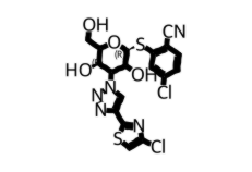 N#Cc1ccc(Cl)cc1S[C@H]1OC(CO)[C@H](O)C(n2cc(-c3nc(Cl)cs3)nn2)C1O